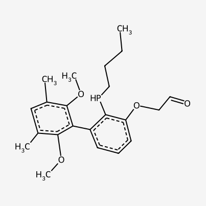 CCCCPc1c(OCC=O)cccc1-c1c(OC)c(C)cc(C)c1OC